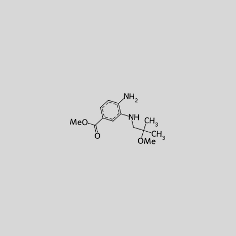 COC(=O)c1ccc(N)c(NCC(C)(C)OC)c1